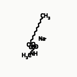 CCCCCCCCCCCCCC(=O)OS(=O)(=O)CCNC.[Na]